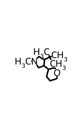 CN1CC(C2CCCOC2)C(C(C)(C)C)C1